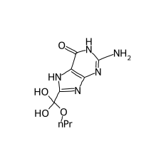 CCCOC(O)(O)c1nc2nc(N)[nH]c(=O)c2[nH]1